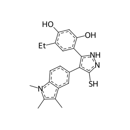 CCc1cc(-c2[nH]nc(S)c2-c2ccc3c(c2)c(C)c(C)n3C)c(O)cc1O